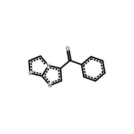 O=C(c1ccccc1)c1cnc2sccn12